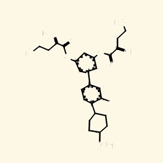 C=C(CCO)C(=O)Oc1cc(OC(=O)C(=C)CCO)cc(-c2ccc(C3CCC(CCCCCCC)CC3)c(CC)c2)c1